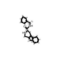 C[C@H](NC(=O)[C@H]1Cc2c(sc3ccccc23)CN1)c1ccccc1